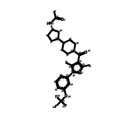 CC(=O)N[C@H]1CCN(C2CCN(C(=O)c3c(C)nn(-c4cccc(OC(F)(F)F)c4)c3C)CC2)C1